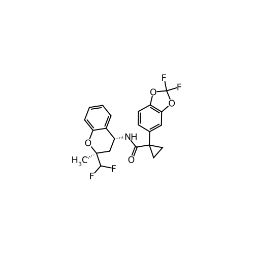 C[C@@]1(C(F)F)C[C@@H](NC(=O)C2(c3ccc4c(c3)OC(F)(F)O4)CC2)c2ccccc2O1